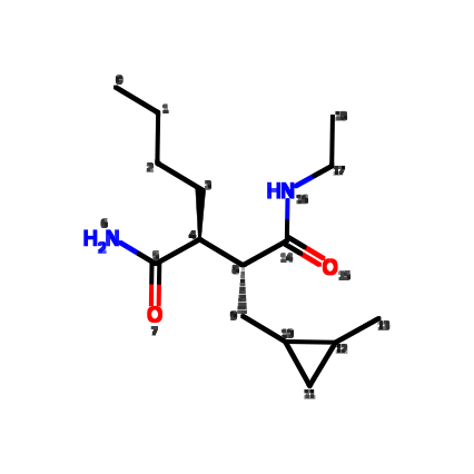 CCCC[C@H](C(N)=O)[C@@H](CC1CC1C)C(=O)NCC